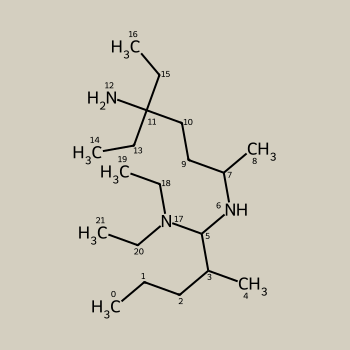 CCCC(C)C(NC(C)CCC(N)(CC)CC)N(CC)CC